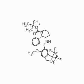 COc1cc2c(cc1CN[C@H]1CCCN(C(=O)OC(C)(C)C)[C@H]1c1ccccc1)C(C(F)(F)F)(C(F)(F)F)OC2